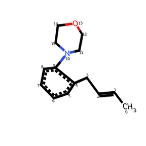 CC=CCc1ccccc1N1CCOCC1